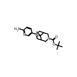 CC(C)(C)OC(=O)N1CC2CN(c3ccc(N)nc3)CC(C1)C2(F)F